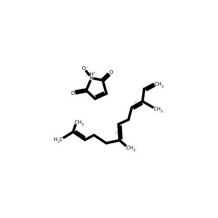 C=C/C(C)=C/C/C=C(\C)CCC=C(C)C.O=C1C=CC(=O)[NH+]1[O-]